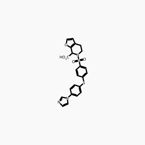 O=C(O)C1c2occc2CCN1S(=O)(=O)c1ccc(Sc2ccc(-n3ccnc3)cc2)cc1